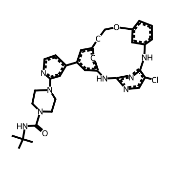 CC(C)(C)NC(=O)N1CCN(c2cc(-c3cc4cc(c3)Nc3ncc(Cl)c(n3)Nc3cccc(c3)OCC4)ccn2)CC1